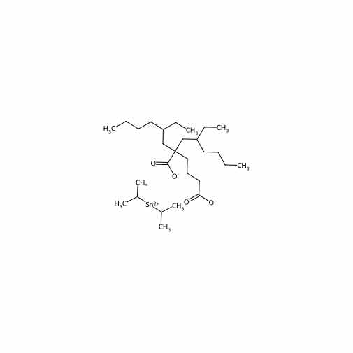 CCCCC(CC)CC(CCCC(=O)[O-])(CC(CC)CCCC)C(=O)[O-].C[CH](C)[Sn+2][CH](C)C